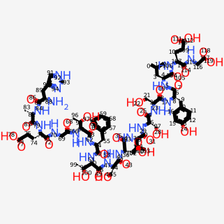 CC(C)C[C@H](NC(=O)[C@H](Cc1ccc(O)cc1)NC(=O)[C@H](CO)NC(=O)[C@H](CO)NC(=O)[C@@H](NC(=O)[C@H](CC(=O)O)NC(=O)[C@H](CO)NC(=O)[C@@H](NC(=O)[C@H](Cc1ccccc1)NC(=O)[C@@H](NC(=O)CNC(=O)[C@H](CCC(=O)O)NC(=O)[C@H](C)NC(=O)[C@@H](N)Cc1c[nH]cn1)[C@@H](C)O)[C@@H](C)O)C(C)C)C(=O)N[C@@H](CCC(=O)O)C(=O)NCC(=O)O